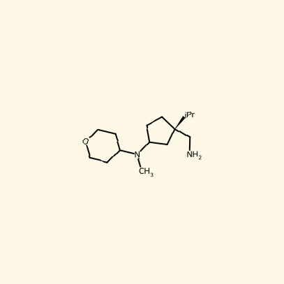 CC(C)[C@]1(CN)CCC(N(C)C2CCOCC2)C1